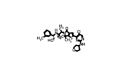 Cc1cccc([C@@H](CO)NC(=O)C(C)N2C(=O)c3cc(-c4nc(NC5CCOCC5)ncc4Cl)sc3C2(C)C)c1